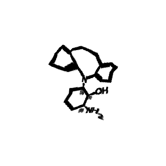 N[C@@H]1CCC[C@H](N2c3ccccc3CCc3ccccc32)[C@H]1O